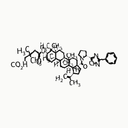 C=C(C)[C@@H]1CC[C@]2(C(=O)N3CCC[C@@H]3c3nc(-c4ccccc4)no3)CC[C@]3(C)[C@H](CC[C@@H]4[C@@]5(C)CC[C@H](OC(=O)CC(C)(C)CC(=O)O)C(C)(C)[C@@H]5CC[C@]43C)[C@@H]12